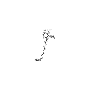 CCCCCCCCCCCCCCCCCCOc1ccc(C(=O)OCC)cc1N